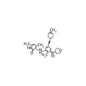 CCN(c1cc(C#CC2CCN(C)CC2)cc(CNCc2c(C)cc(C)[nH]c2=O)c1C)C1CCOCC1